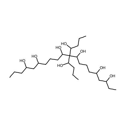 CCCC(O)CC(O)CCCC(O)C(C(O)CCC)(C(O)CCC)C(O)CCCC(O)CC(O)CC